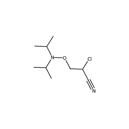 CC(C)N(OCC(Cl)C#N)C(C)C